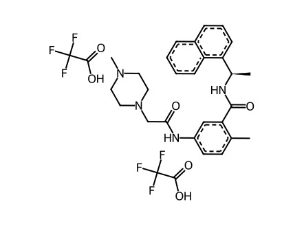 Cc1ccc(NC(=O)CN2CCN(C)CC2)cc1C(=O)N[C@H](C)c1cccc2ccccc12.O=C(O)C(F)(F)F.O=C(O)C(F)(F)F